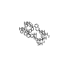 CC1C(=O)NCCN1C(=O)c1cccc2cc(NCC(N)CS)ccc12.NC(CS)CNc1ccc2c(C(=O)N3CCNC(=O)C3)cccc2c1